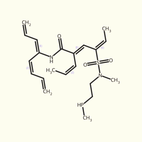 C=C/C=C\C(=C/C=C)NC(=O)C(/C=C\C)=C/C(=C\C)S(=O)(=O)N(C)CCPC